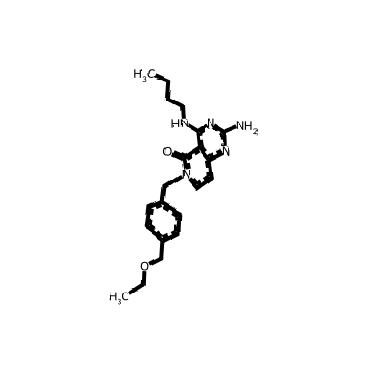 CCCCNc1nc(N)nc2ccn(Cc3ccc(COCC)cc3)c(=O)c12